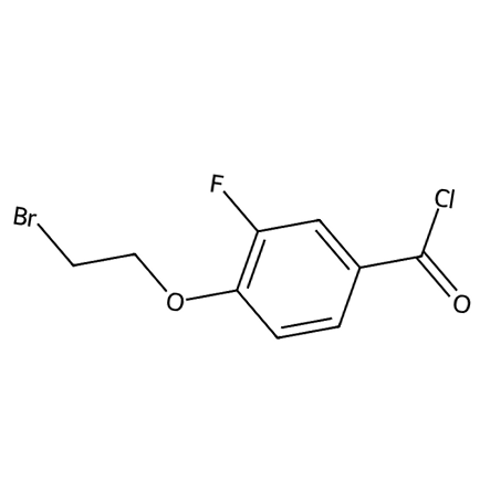 O=C(Cl)c1ccc(OCCBr)c(F)c1